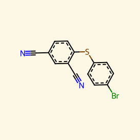 N#Cc1ccc(Sc2ccc(Br)cc2)c(C#N)c1